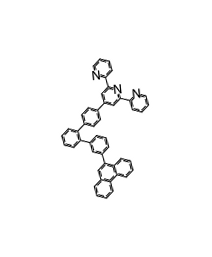 c1ccc(-c2cc(-c3ccc(-c4ccccc4-c4cccc(-c5cc6ccccc6c6ccccc56)c4)cc3)cc(-c3ccccn3)n2)nc1